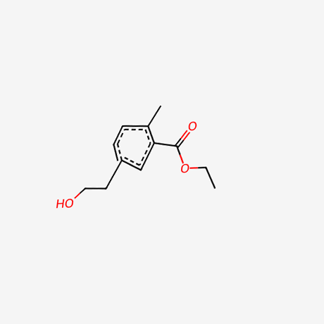 CCOC(=O)c1cc(CCO)ccc1C